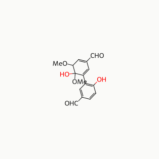 COC1C=C(C=O)C=C(c2cc(C=O)ccc2O)C1(O)OC